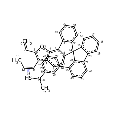 C=Cc1oc2c3c(ccc2c1/C=C\C)C1(c2ccccc2-c2cccc(-c4cccc(N(C)S)c4)c21)c1ccccc1-3